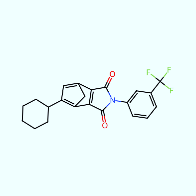 O=C1C2=C(C(=O)N1c1cccc(C(F)(F)F)c1)C1=C(C3CCCCC3)C=C2C1